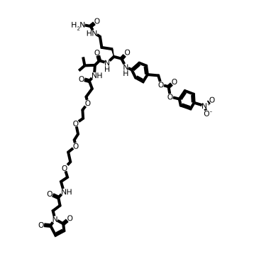 CC(C)C(NC(=O)CCOCCOCCOCCOCCNC(=O)CCN1C(=O)C=CC1=O)C(=O)N[C@@H](CCCNC(N)=O)C(=O)Nc1ccc(COC(=O)Oc2ccc([N+](=O)[O-])cc2)cc1